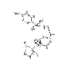 Cc1noc(C)c1-c1cnc2ccn(S(=O)(=O)c3ccc(Cl)cc3)c2c1